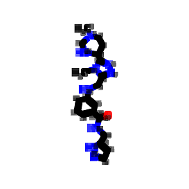 CN1CCC(c2nnc(CNc3cccc(C(=O)NCc4ccn[nH]4)c3)n2C)NC1